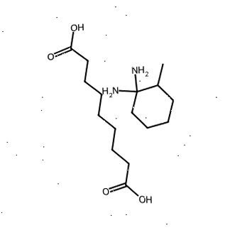 CC1CCCCC1(N)N.O=C(O)CCCCCCCC(=O)O